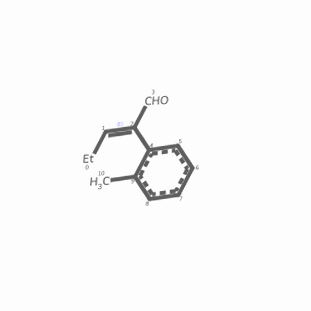 CC/C=C(/C=O)c1ccccc1C